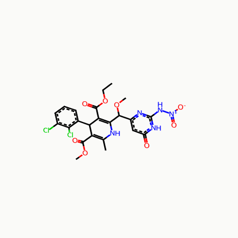 CCOC(=O)C1=C(C(OC)c2cc(=O)[nH]c(N[N+](=O)[O-])n2)NC(C)=C(C(=O)OC)C1c1cccc(Cl)c1Cl